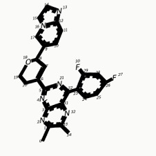 Cc1nc2nc(C3=CC(c4ccc5nccn5c4)OCC3)nc(-c3ccc(F)cc3F)c2nc1C